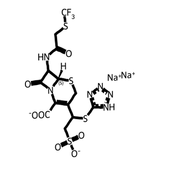 O=C(CSC(F)(F)F)NC1C(=O)N2C(C(=O)[O-])=C(C(CS(=O)(=O)[O-])Sc3nnn[nH]3)CS[C@@H]12.[Na+].[Na+]